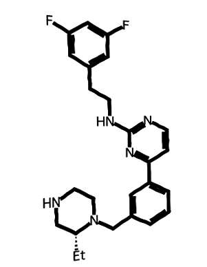 CC[C@@H]1CNCCN1Cc1cccc(-c2ccnc(NCCc3cc(F)cc(F)c3)n2)c1